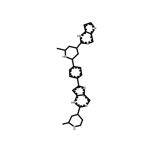 CC1CC(c2ncc3nc(-c4ccc(C5CC(c6ncc7nccc-7[nH]6)CC(C)N5)cc4)cc-3[nH]2)CCN1